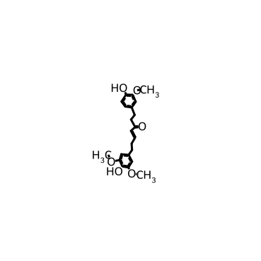 COc1cc(CCC(=O)/C=C/CCc2cc(OC)c(O)c(OC)c2)ccc1O